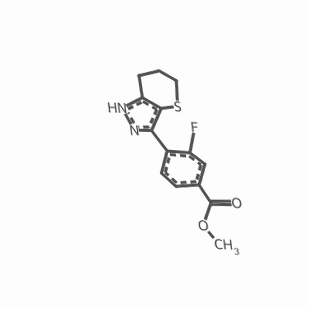 COC(=O)c1ccc(-c2n[nH]c3c2SCCC3)c(F)c1